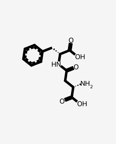 N[C@@H](CC(=O)N[C@H](Cc1ccccc1)C(=O)O)C(=O)O